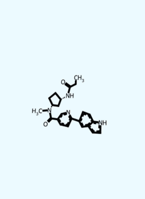 CCC(=O)N[C@H]1CC[C@@H](N(C)C(=O)c2ccc(-c3ccc4[nH]ccc4c3)nc2)C1